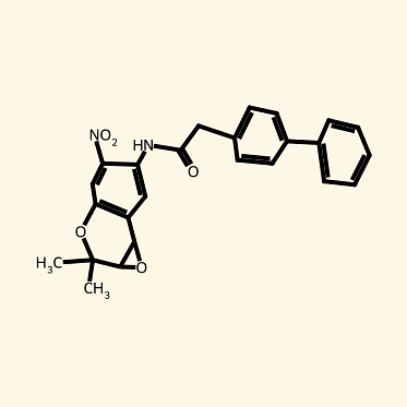 CC1(C)Oc2cc([N+](=O)[O-])c(NC(=O)Cc3ccc(-c4ccccc4)cc3)cc2C2OC21